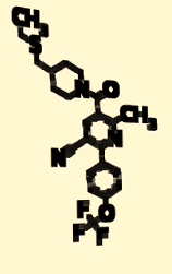 CCSCC1CCN(C(=O)c2cc(C#N)c(-c3ccc(OC(F)(F)F)cc3)nc2C)CC1